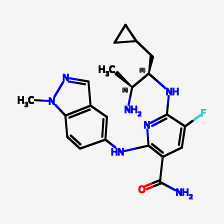 C[C@H](N)[C@@H](CC1CC1)Nc1nc(Nc2ccc3c(cnn3C)c2)c(C(N)=O)cc1F